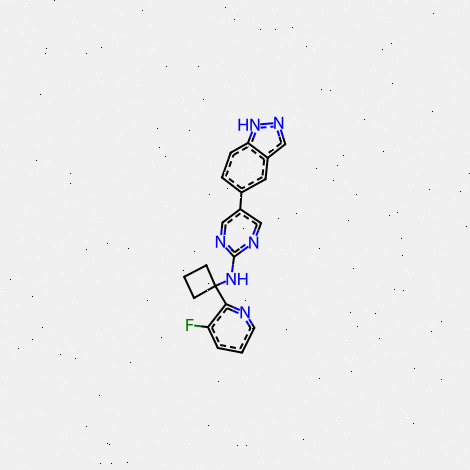 Fc1cccnc1C1(Nc2ncc(-c3ccc4[nH]ncc4c3)cn2)CCC1